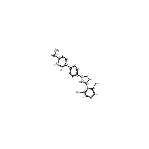 CCCNc1ccc(-c2ccc(C3CCC(c4c(F)cccc4F)=N3)cc2)nn1